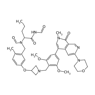 CCCC(C(=O)NC=O)N(C=O)Cc1cc(OC2CN(Cc3c(OC)cc(-c4cn(C)c(=O)c5cnc(N6CCOCC6)cc45)cc3OC)C2)ccc1C